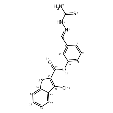 NC(=S)NN=Cc1cccc(OC(=O)c2sc3ccccc3c2Cl)c1